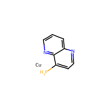 Pc1ccnc2cccnc12.[Cu]